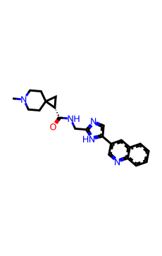 CN1CCC2(CC1)C[C@@H]2C(=O)NCc1ncc(-c2cnc3ccccc3c2)[nH]1